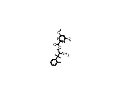 COc1cc(OC)nc(C(=O)O/N=C(\N)C(C)(C)c2ccccc2C)n1